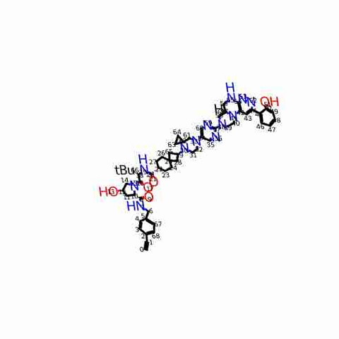 C#Cc1ccc(CNC(=O)[C@@H]2C[C@@H](O)CN2C(=O)[C@@H](NC(=O)[C@H]2CCC3(CC2)C[C@H](N2CCN(c4cnc(N5CCN6c7cc(-c8ccccc8O)nnc7NC[C@H]6C5)nc4)CC24CC4)C3)C(C)(C)C)cc1